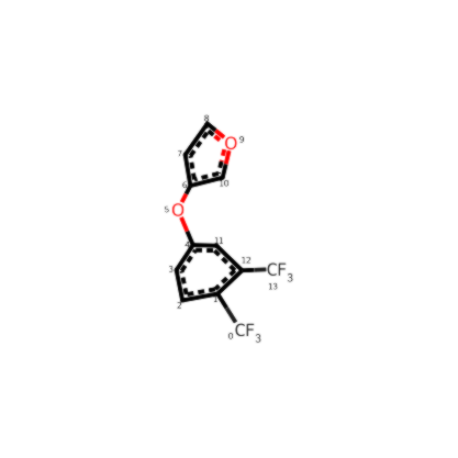 FC(F)(F)c1ccc(Oc2c[c]oc2)cc1C(F)(F)F